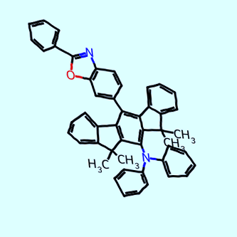 CC1(C)c2ccccc2-c2c(-c3ccc4nc(-c5ccccc5)oc4c3)c3c(c(N(c4ccccc4)c4ccccc4)c21)C(C)(C)c1ccccc1-3